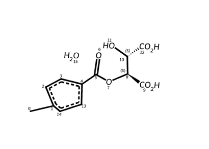 Cc1ccc(C(=O)O[C@H](C(=O)O)[C@H](O)C(=O)O)cc1.O